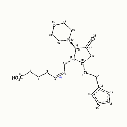 O=C(O)CCC/C=C\C[C@H]1[C@@H](OCc2ccsc2)CC(=O)[C@@H]1N1CCOCC1